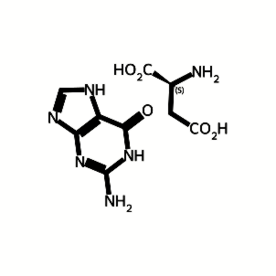 N[C@@H](CC(=O)O)C(=O)O.Nc1nc2nc[nH]c2c(=O)[nH]1